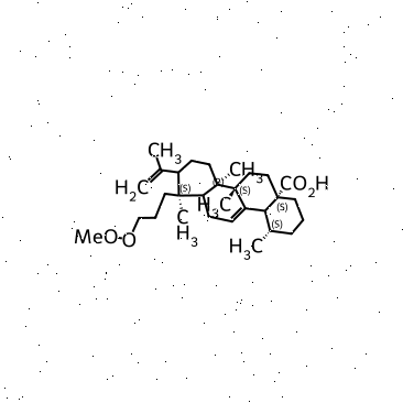 C=C(C)C1CC[C@]2(C)C(CC=C3C4[C@@H](C)CCC[C@]4(C(=O)O)CC[C@]32C)[C@@]1(C)CCCOOC